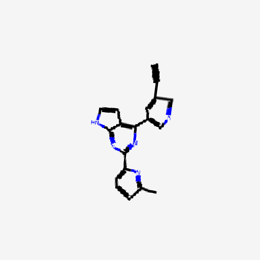 C#Cc1cncc(-c2nc(-c3cccc(C)n3)nc3[nH]ccc23)c1